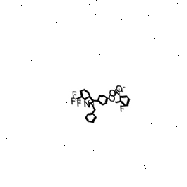 O=[N+]([O-])c1cccc(F)c1COc1ccc(-c2c3cccc(C(F)(F)F)c3nn2Cc2ccccc2)cc1